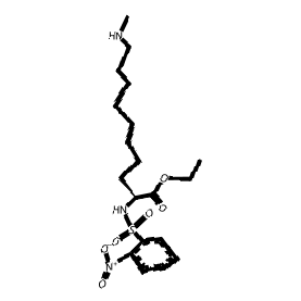 CCOC(=O)[C@H](CCCCCCCCNC)NS(=O)(=O)c1ccccc1[N+](=O)[O-]